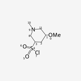 COC1CC(S(=O)(=O)Cl)CN(C)C1